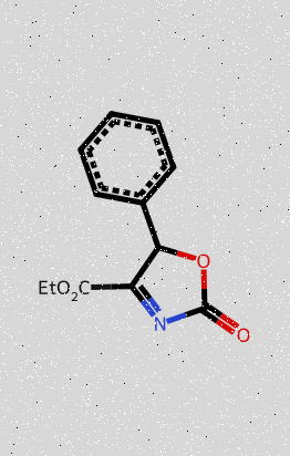 CCOC(=O)C1=NC(=O)OC1c1ccccc1